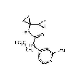 CC(=O)O.N#Cc1cccc(NC(=O)NC2(C3CC3)CC2)c1